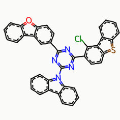 Clc1c(-c2nc(-c3ccc4oc5ccccc5c4c3)nc(-n3c4ccccc4c4ccccc43)n2)ccc2sc3ccccc3c12